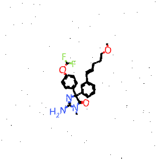 COCCCC=Cc1cccc(C2(c3ccc(OC(F)F)cc3)N=C(N)N(C)C2=O)c1